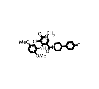 COc1ccc(OC)c(Nc2c(C(=O)N3CCC(c4ccc(F)cc4)CC3)cn(C)c(=O)c2Cl)c1